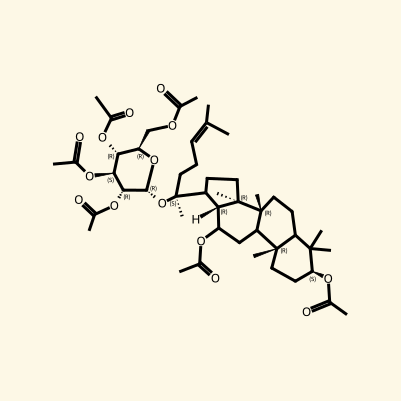 CC(=O)OC[C@H]1O[C@H](O[C@@](C)(CCC=C(C)C)C2CC[C@]3(C)[C@@H]2C(OC(C)=O)CC2[C@@]4(C)CC[C@H](OC(C)=O)C(C)(C)C4CC[C@]23C)[C@H](OC(C)=O)[C@@H](OC(C)=O)[C@@H]1OC(C)=O